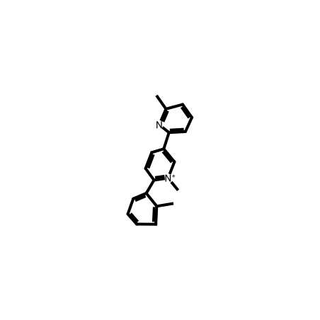 Cc1cccc(-c2ccc(-c3ccccc3C)[n+](C)c2)n1